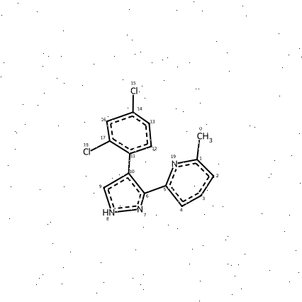 Cc1cccc(-c2n[nH]cc2-c2ccc(Cl)cc2Cl)n1